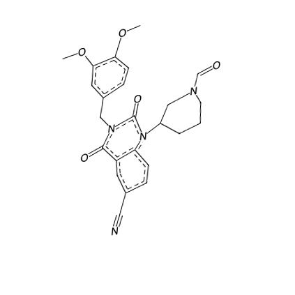 COc1ccc(Cn2c(=O)c3cc(C#N)ccc3n(C3CCCN(C=O)C3)c2=O)cc1OC